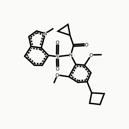 COc1cc(C2CCC2)cc(OC)c1N(C(=O)C1CC1)S(=O)(=O)c1cccc2ccn(C)c12